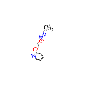 C=CN=NOCCOc1ccccn1